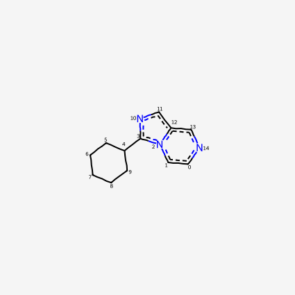 c1cn2c(C3CCCCC3)ncc2cn1